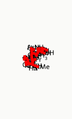 CNC(=N)NCCC[C@H](NC(=O)[C@H](CC(C)C)NC(=O)NNC(=O)[C@H](Cc1ccccc1)NC(=O)C(NC(=O)[C@H](CC(N)=O)NC(=O)[C@H](CO)NC(=O)[C@@H](Cc1ccc(O)cc1)NC(C)=O)[C@@H](C)O)C(=O)N[C@@H](Cc1c[nH]c2ccccc12)C(N)=O